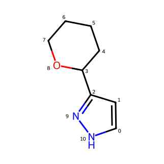 c1cc(C2CCCCO2)n[nH]1